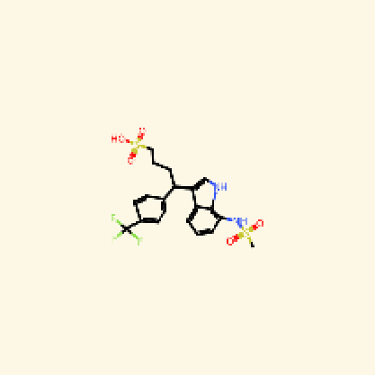 CS(=O)(=O)Nc1cccc2c(C(CCCS(=O)(=O)O)c3ccc(C(F)(F)F)cc3)c[nH]c12